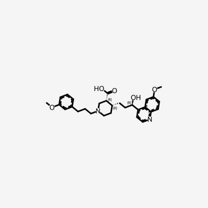 COc1cccc(CCCN2CC[C@@H](CC[C@@H](O)c3ccnc4ccc(OC)cc34)[C@@H](C(=O)O)C2)c1